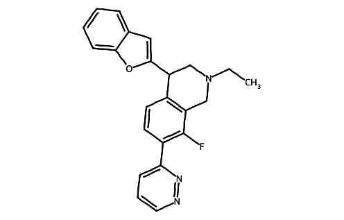 CCN1Cc2c(ccc(-c3cccnn3)c2F)C(c2cc3ccccc3o2)C1